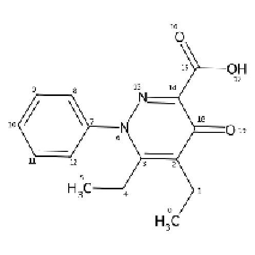 CCc1c(CC)n(-c2ccccc2)nc(C(=O)O)c1=O